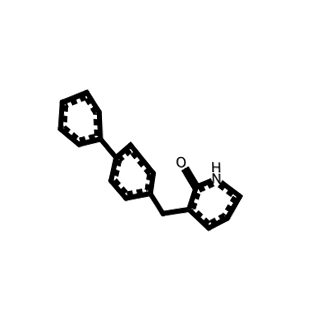 O=c1[nH]cccc1Cc1ccc(-c2ccccc2)cc1